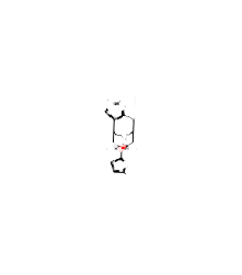 O=S(=O)(c1ccc(Cl)s1)N1C2CCCC1c1cn[nH]c1C2